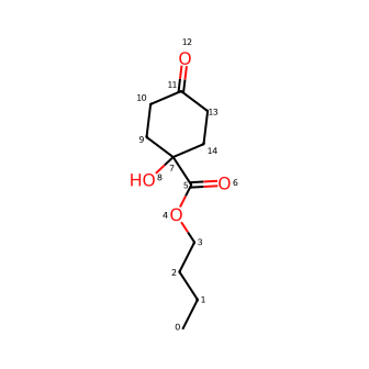 CCCCOC(=O)C1(O)CCC(=O)CC1